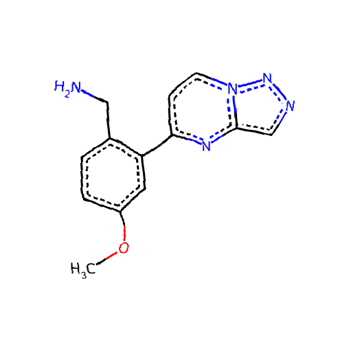 COc1ccc(CN)c(-c2ccn3nncc3n2)c1